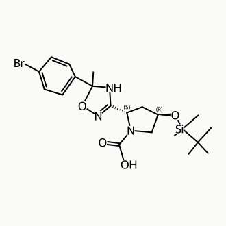 CC1(c2ccc(Br)cc2)NC([C@@H]2C[C@@H](O[Si](C)(C)C(C)(C)C)CN2C(=O)O)=NO1